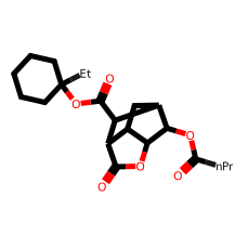 [CH2]CCC(=O)OC1C2CC3C1OC(=O)C3C2C(=O)OC1(CC)CCCCC1